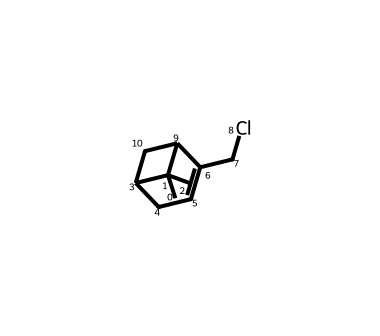 CC1(C)C2CC=C(CCl)C1C2